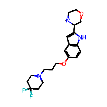 FC1(F)CCN(CCCOc2ccc3[nH]c(C4COCC[N]4)cc3c2)CC1